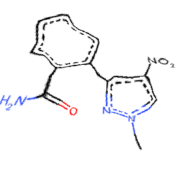 Cn1cc([N+](=O)[O-])c(-c2ccccc2C(N)=O)n1